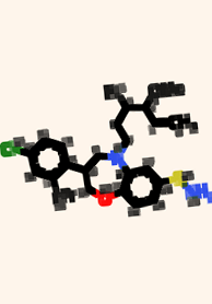 C=CC(OC)C(CC)CCN1CC(c2ccc(Cl)cc2CCC)COc2ccc(SN)cc21